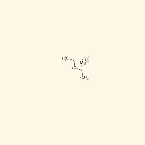 CCOCC.[I-].[I-].[Mg+2]